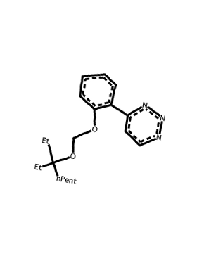 CCCCCC(CC)(CC)OCOc1ccccc1-c1ccnnn1